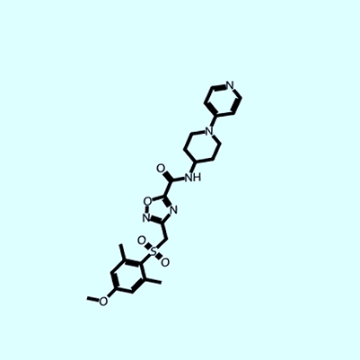 COc1cc(C)c(S(=O)(=O)Cc2noc(C(=O)NC3CCN(c4ccncc4)CC3)n2)c(C)c1